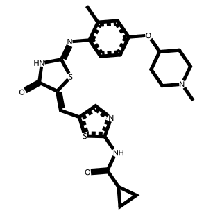 Cc1cc(OC2CCN(C)CC2)ccc1/N=C1/NC(=O)/C(=C/c2cnc(NC(=O)C3CC3)s2)S1